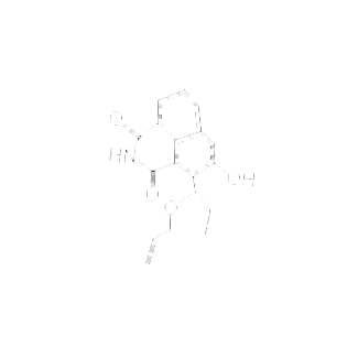 C=CCOC(CC)c1c(O)cc2cccc3c2c1C(=O)NC3=O